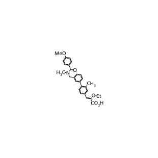 CCO/C(=C\c1ccc(-c2cccc(CN(C)C(=O)c3ccc(OC)cc3)c2)c(C)c1)C(=O)O